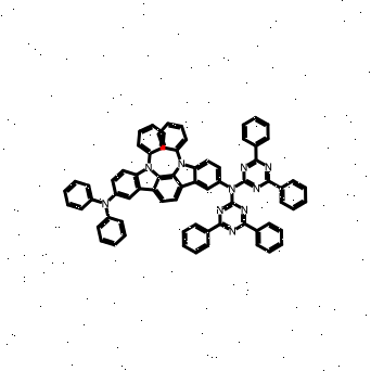 c1ccc(-c2nc(-c3ccccc3)nc(N(c3ccc4c(c3)c3ccc5c6cc(N(c7ccccc7)c7ccccc7)ccc6n(-c6ccccc6)c5c3n4-c3ccccc3)c3nc(-c4ccccc4)nc(-c4ccccc4)n3)n2)cc1